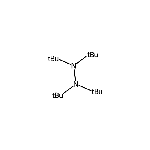 CC(C)(C)N(N(C(C)(C)C)C(C)(C)C)C(C)(C)C